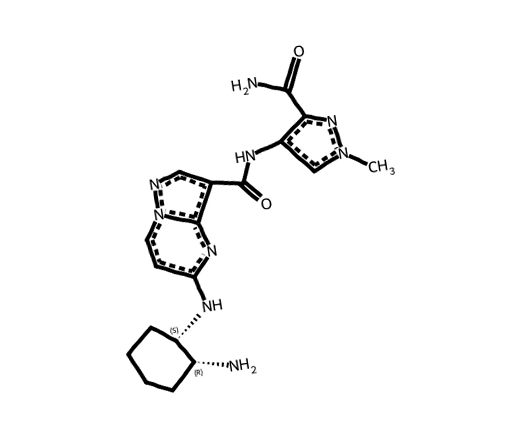 Cn1cc(NC(=O)c2cnn3ccc(N[C@H]4CCCC[C@H]4N)nc23)c(C(N)=O)n1